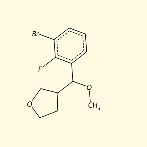 COC(c1cccc(Br)c1F)C1CCOC1